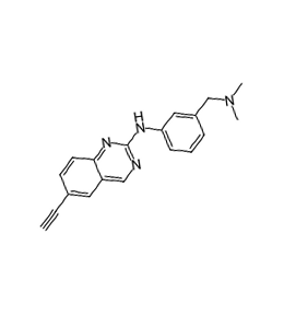 C#Cc1ccc2nc(Nc3cccc(CN(C)C)c3)ncc2c1